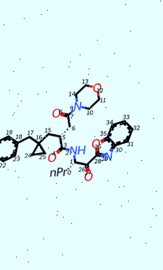 CCC[C@H](NC(=O)[C@@H](CC(=O)N1CCOCC1)CC1(Cc2ccccc2)CC1)C(=O)c1nc2ccccc2o1